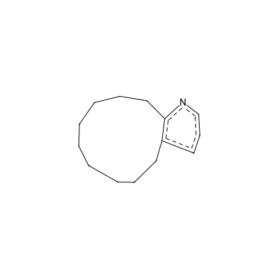 c1cnc2c(c1)CCCCCCCCC2